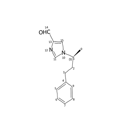 C[C@@H](CCc1ccccc1)n1cnc(C=O)c1